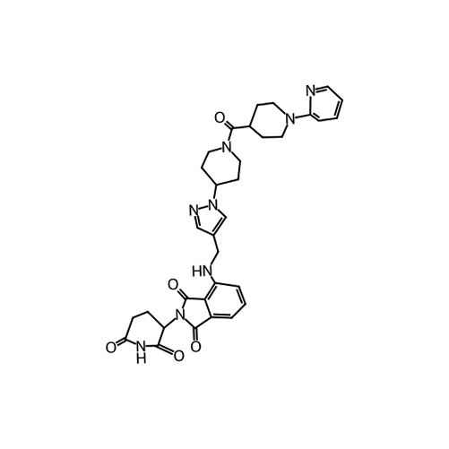 O=C1CCC(N2C(=O)c3cccc(NCc4cnn(C5CCN(C(=O)C6CCN(c7ccccn7)CC6)CC5)c4)c3C2=O)C(=O)N1